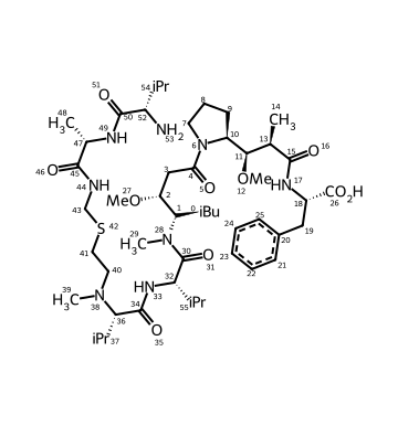 CC[C@H](C)[C@@H]([C@@H](CC(=O)N1CCC[C@H]1[C@H](OC)[C@@H](C)C(=O)N[C@@H](Cc1ccccc1)C(=O)O)OC)N(C)C(=O)[C@@H](NC(=O)[C@H](C(C)C)N(C)CCSCNC(=O)[C@H](C)NC(=O)[C@@H](N)C(C)C)C(C)C